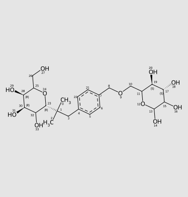 CC(C)(Cc1ccc(COCC2OC(O)C(O)[C@@H](O)[C@@H]2O)cc1)[C@H]1OC(CO)[C@H](O)[C@H](O)C1O